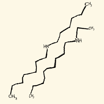 CCCCCCCCNCC.CCCCCCCNCCCCCC